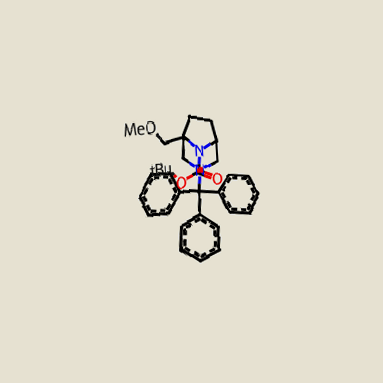 COCC12CCC(CN(C(c3ccccc3)(c3ccccc3)c3ccccc3)C1)N2C(=O)OC(C)(C)C